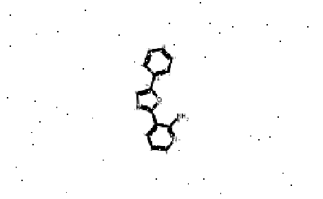 Nc1ncccc1-c1ncc(-c2ccccc2)o1